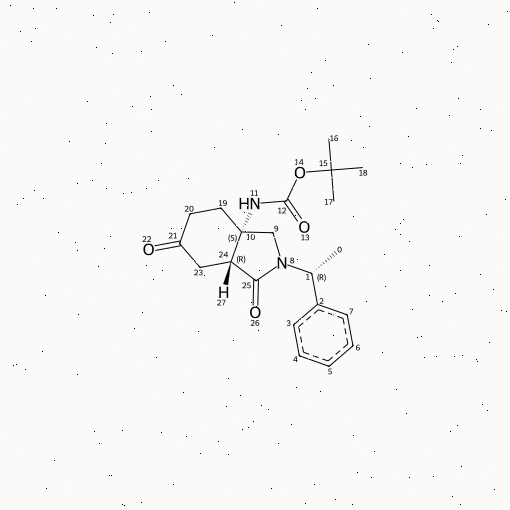 C[C@H](c1ccccc1)N1C[C@]2(NC(=O)OC(C)(C)C)CCC(=O)C[C@H]2C1=O